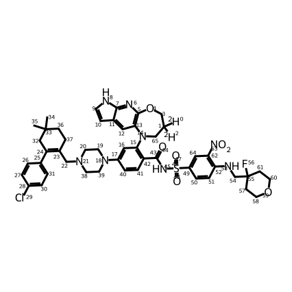 [2H]C1([2H])COc2nc3[nH]ccc3cc2N(c2cc(N3CCN(CC4=C(c5ccc(Cl)cc5)CC(C)(C)CC4)CC3)ccc2C(=O)NS(=O)(=O)c2ccc(NCC3(F)CCOCC3)c([N+](=O)[O-])c2)C1